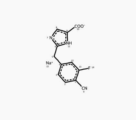 N#Cc1ccc(Cc2ncc(C(=O)[O-])[nH]2)cc1F.[Na+]